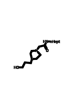 CCCCCCCNC(=O)CN1CCN(CCCO)CC1